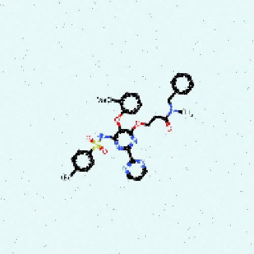 COc1ccccc1Oc1c(NS(=O)(=O)c2ccc(C(C)(C)C)cc2)nc(-c2ncccn2)nc1OCCC(=O)N(C)Cc1ccccc1